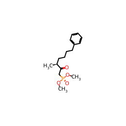 COP(=O)(CC(=O)[C@@H](C)CCCCc1ccccc1)OC